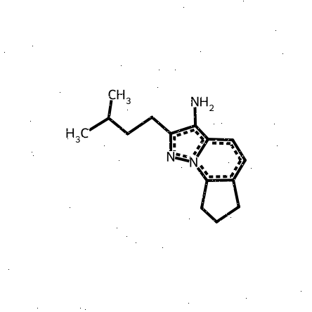 CC(C)CCc1nn2c3c(ccc2c1N)CCC3